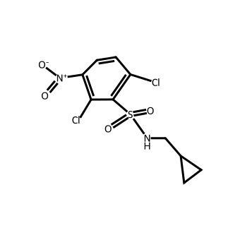 O=[N+]([O-])c1ccc(Cl)c(S(=O)(=O)NCC2CC2)c1Cl